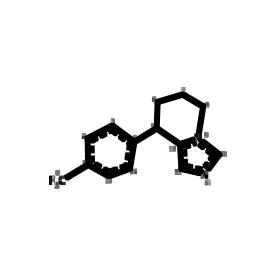 FC(F)(F)c1ccc(C2CCCn3cncc32)cc1